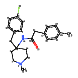 CN1CCC(Cc2ccc(F)cc2)(NC(=O)Cc2ccc(C(F)(F)F)cc2)CC1